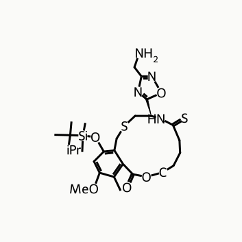 COc1cc(O[Si](C)(C)C(C)(C)C(C)C)c2c(c1C)C(=O)OCCCCC(=S)N[C@H](c1nc(CN)no1)CSC2